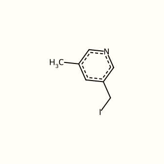 Cc1cncc(CI)c1